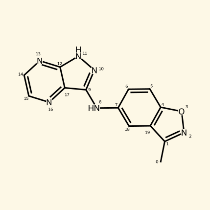 Cc1noc2ccc(Nc3n[nH]c4nccnc34)cc12